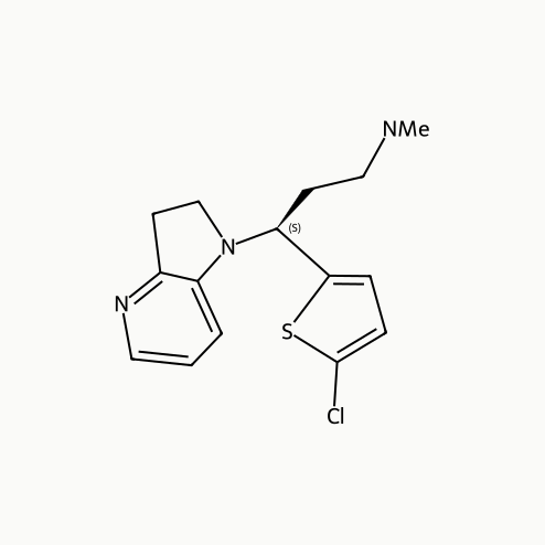 CNCC[C@@H](c1ccc(Cl)s1)N1CCc2ncccc21